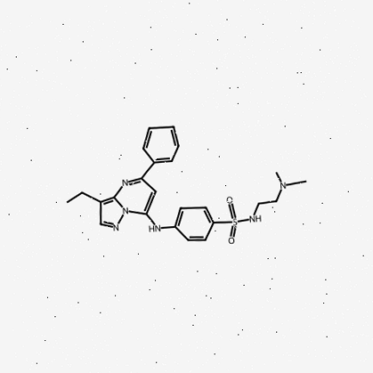 CCc1cnn2c(Nc3ccc(S(=O)(=O)NCCN(C)C)cc3)cc(-c3ccccc3)nc12